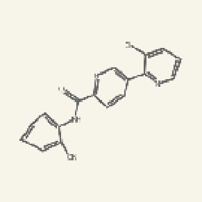 N#Cc1ccccc1NC(=O)c1ccc(-c2ncccc2Cl)cn1